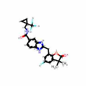 CC1(C)C(=O)Oc2c(Cc3nc4cc(C(=O)NCC5(C(F)(F)F)CC5)ccc4[nH]3)cc(F)cc21